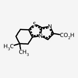 CC1(C)CCc2sc3nc(C(=O)O)cn3c2C1